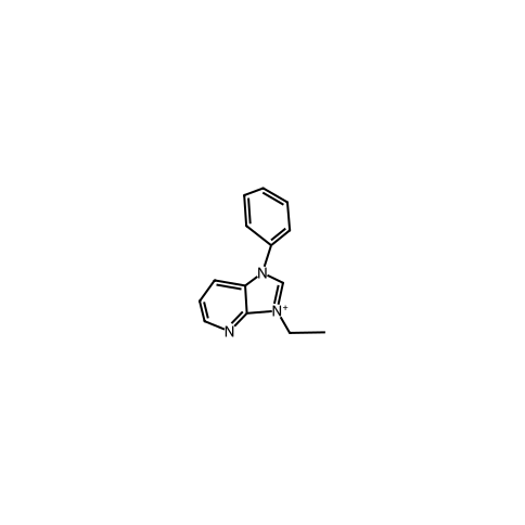 CC[n+]1cn(-c2ccccc2)c2cccnc21